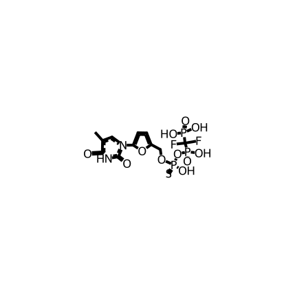 Cc1cn(C2=C=C=C(COP(O)(=S)OP(=O)(O)C(F)(F)P(=O)(O)O)O2)c(=O)[nH]c1=O